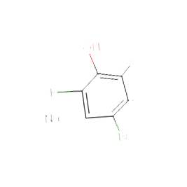 Oc1c(F)cc(Br)cc1F.[Na]